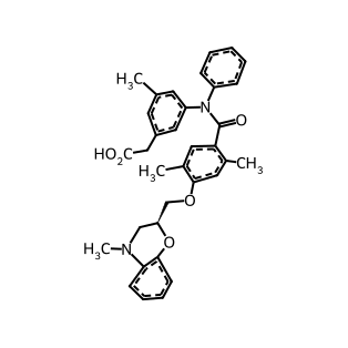 Cc1cc(CC(=O)O)cc(N(C(=O)c2cc(C)c(OC[C@@H]3CN(C)c4ccccc4O3)cc2C)c2ccccc2)c1